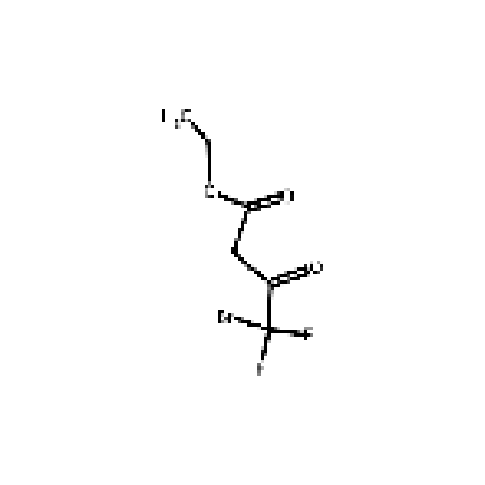 CCOC(=O)CC(=O)C(F)(F)Br